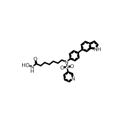 O=C(CCCCCCN(c1ccc(-c2ccc3cc[nH]c3c2)cc1)S(=O)(=O)c1cccnc1)NO